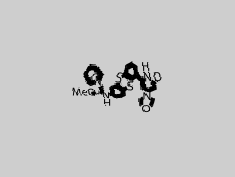 COC[C@H](CN1CC2CCC(C1)O2)Nc1ccc2c(c1)Sc1cccc(-c3cc(N4CCOCC4)cc(=O)[nH]3)c1S2